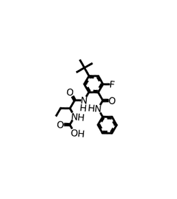 CCC(NC(=O)O)C(=O)Nc1cc(C(C)(C)C)cc(F)c1C(=O)Nc1ccccc1